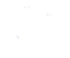 CCC(C)CC(C)CN1CCC1